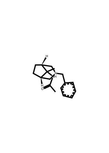 CC(=O)NC1(C)[C@@H]2CC[C@H]1CN(Cc1ccccc1)C2